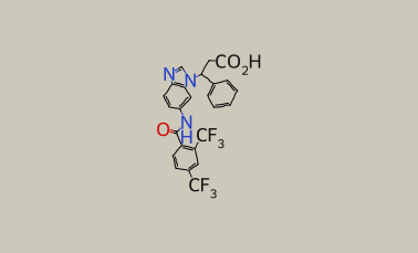 O=C(O)CC(c1ccccc1)n1cnc2ccc(NC(=O)c3ccc(C(F)(F)F)cc3C(F)(F)F)cc21